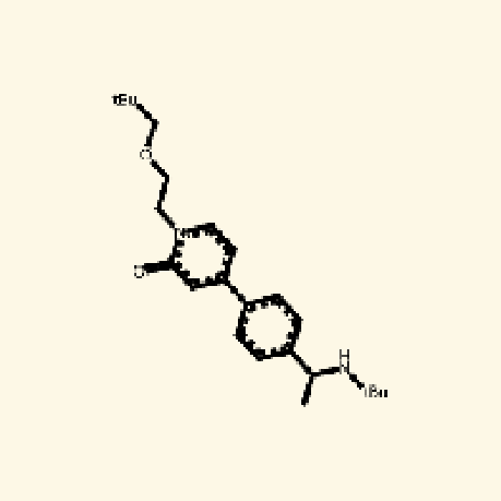 CC(NC(C)(C)C)c1ccc(-c2ccn(CCOCC(C)(C)C)c(=O)c2)cc1